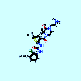 COc1cccc(NC(=O)Nc2sc(C(C)(C)C)cc2C(=O)N2CCN(CCN(C)C)C(=O)C2(C)C)c1Cl